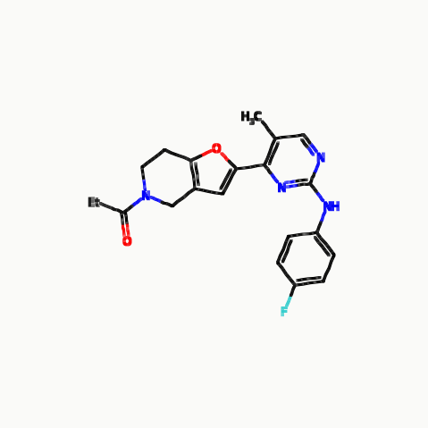 CCC(=O)N1CCc2oc(-c3nc(Nc4ccc(F)cc4)ncc3C)cc2C1